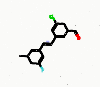 CC1C=C(/C=C/C2=CC(C=O)CC(Cl)=C2)C=C(F)C1